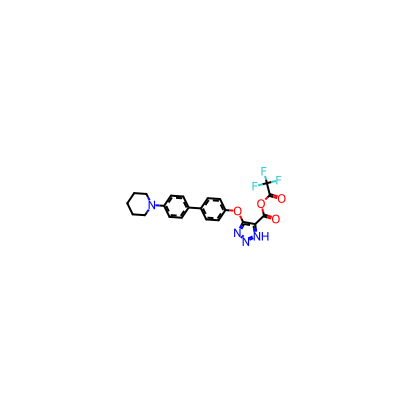 O=C(OC(=O)C(F)(F)F)c1[nH]nnc1Oc1ccc(-c2ccc(N3CCCCC3)cc2)cc1